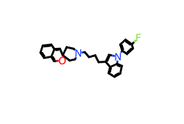 Fc1ccc(-n2cc(CCCCN3CCC4(C=c5ccccc5=CO4)CC3)c3ccccc32)cc1